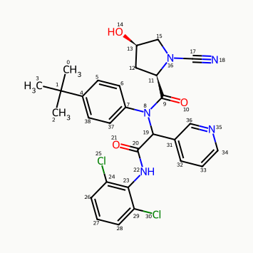 CC(C)(C)c1ccc(N(C(=O)[C@H]2C[C@@H](O)CN2C#N)C(C(=O)Nc2c(Cl)cccc2Cl)c2cccnc2)cc1